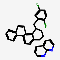 Fc1ccc(F)c(CC2CCCc3ccc4c(ccc5ccccc54)c32)c1.c1cnc2ncccc2c1